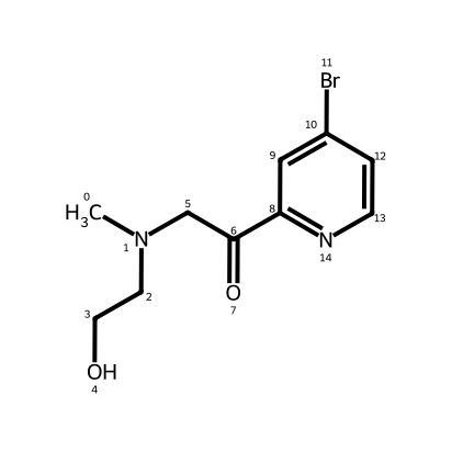 CN(CCO)CC(=O)c1cc(Br)ccn1